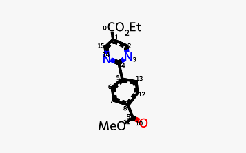 CCOC(=O)c1cnc(-c2ccc(C(=O)OC)cc2)nc1